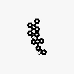 c1ccc(-c2c3ccccc3c(-c3cccc4oc5c(-c6c7ccccc7c(-c7ccc8oc9ccccc9c8c7)c7ccccc67)cccc5c34)c3ccccc23)cc1